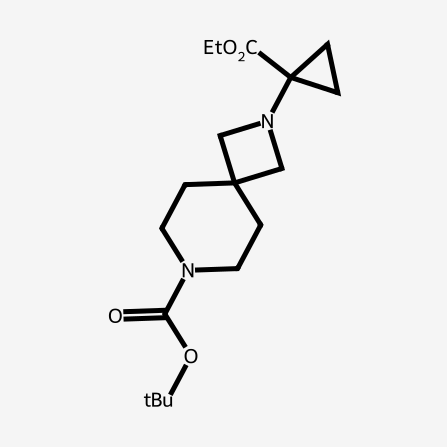 CCOC(=O)C1(N2CC3(CCN(C(=O)OC(C)(C)C)CC3)C2)CC1